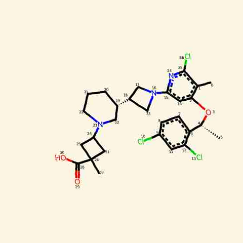 Cc1c(O[C@H](C)c2ccc(Cl)cc2Cl)cc(N2CC([C@H]3CCCN(C4CC(C)(C(=O)O)C4)C3)C2)nc1Cl